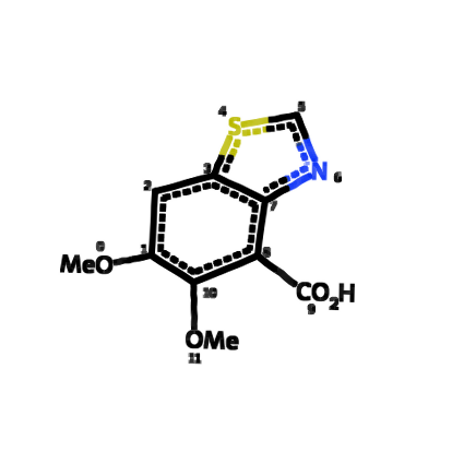 COc1cc2scnc2c(C(=O)O)c1OC